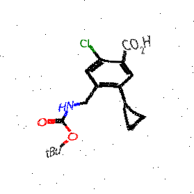 CC(C)(C)OC(=O)NCc1cc(Cl)c(C(=O)O)cc1C1CC1